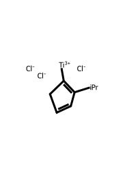 CC(C)C1=[C]([Ti+3])CC=C1.[Cl-].[Cl-].[Cl-]